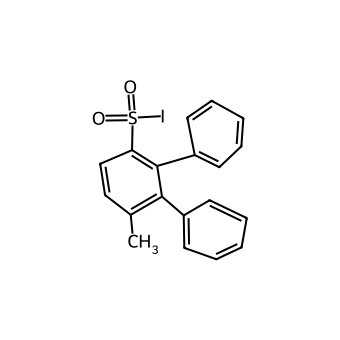 Cc1ccc(S(=O)(=O)I)c(-c2ccccc2)c1-c1ccccc1